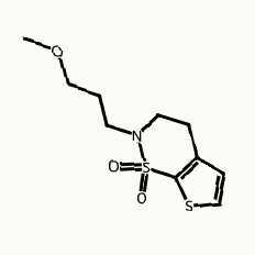 COCCCN1CCc2ccsc2S1(=O)=O